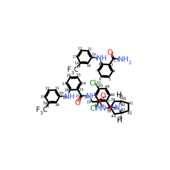 NC(=O)c1ccccc1Nc1cccc(C(F)(F)F)c1.O=C(CNC(=O)c1ccccc1Nc1cccc(C(F)(F)F)c1)N[C@H]1C[C@H]2CC[C@@H](C1)N2Cc1ccc(Cl)cc1Cl